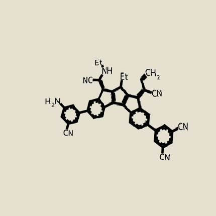 C=C/C(C#N)=C1\C2=C(C3=C(/C(=C(/C#N)NCC)c4cc(-c5cc(N)cc(C#N)c5)ccc43)C2CC)c2ccc(-c3cc(C#N)cc(C#N)c3)cc21